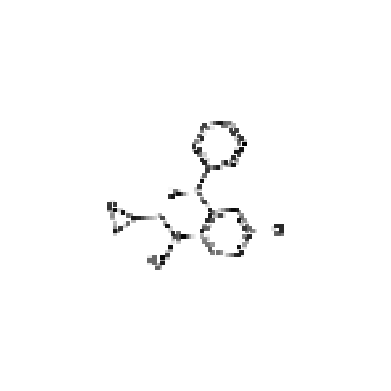 CN(CC1CO1)c1ccc(Cl)cc1C(=O)c1ccccc1